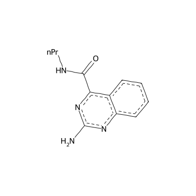 CCCNC(=O)c1nc(N)nc2ccccc12